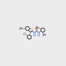 CC(C)c1ccc2sc(NC(=O)Nc3c(C(C)C)cccc3C(C)C)c(-c3ccccc3Cl)c2c1